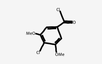 COc1cc(C(=O)Cl)cc(OC)c1Cl